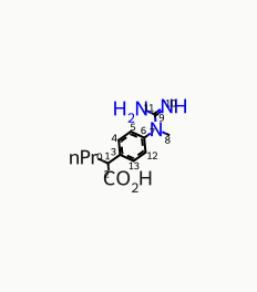 CCCC(C(=O)O)c1ccc(N(C)C(=N)N)cc1